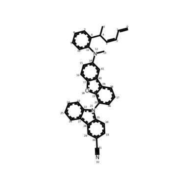 C=C/C=C\C(C)c1ccccc1N(C)c1ccc2oc3c(-n4c5ccccc5c5cc(C#N)ccc54)cccc3c2c1